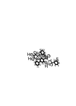 O=C1[C@H](CC[C@H](O)c2cccc(F)c2)[C@@H](c2ccc(-c3ccccc3[C@@H]3O[C@H](CO)[C@@H](O)[C@H](O)[C@H]3O)cc2O)N1c1ccccc1